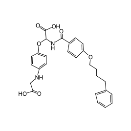 O=C(O)CNc1ccc(OC(NC(=O)c2ccc(OCCCCc3ccccc3)cc2)C(=O)O)cc1